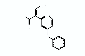 C=C(/C=C(\C=C/C)Oc1ccccc1)/C(=C\OC)C(=O)OC